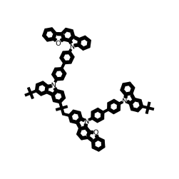 CC(C)(C)c1ccc2c(c1)c1ccccc1n2-c1ccc(-c2ccc(-n3c4ccc(CC(C)(C)c5ccc6c(c5)c5cc(C(C)(C)C)ccc5n6-c5ccc(-c6ccc(-n7c8ccccc8c8ccc9c%10ccccc%10oc9c87)cc6)cc5)cc4c4ccc5c6ccccc6oc5c43)cc2)cc1